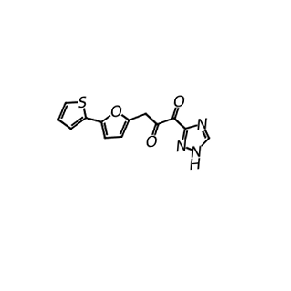 O=C(Cc1ccc(-c2cccs2)o1)C(=O)c1nc[nH]n1